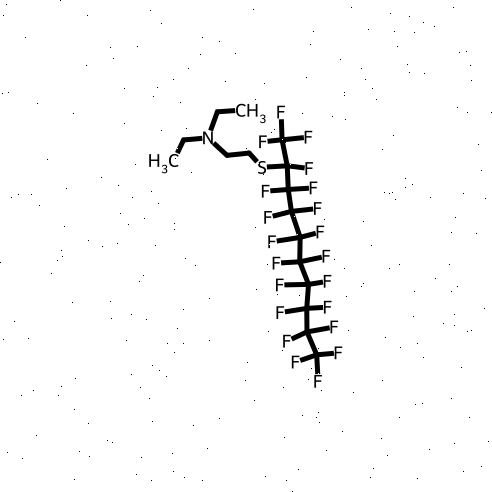 CCN(CC)CCSC(F)(C(F)(F)F)C(F)(F)C(F)(F)C(F)(F)C(F)(F)C(F)(F)C(F)(F)C(F)(F)C(F)(F)F